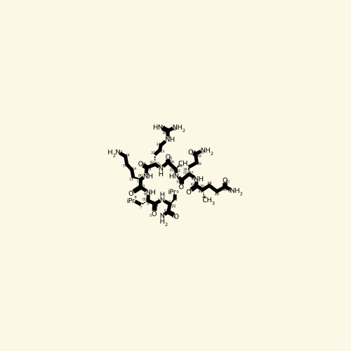 CC(C)C[C@H](NC(=O)[C@H](CC(C)C)NC(=O)[C@@H](CCCCN)NC(=O)[C@H](CCCNC(=N)N)NC(=O)[C@H](C)NC(=O)[C@H](CCC(N)=O)NC(=O)[C@@H](C)CCC(N)=O)C(N)=O